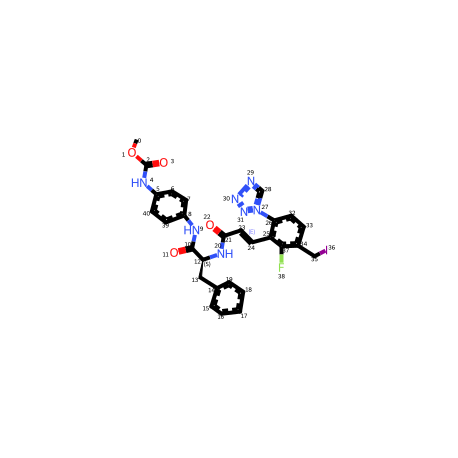 COC(=O)Nc1ccc(NC(=O)[C@H](Cc2ccccc2)NC(=O)/C=C/c2c(-n3cnnn3)ccc(CI)c2F)cc1